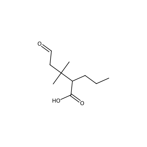 CCCC(C(=O)O)C(C)(C)CC=O